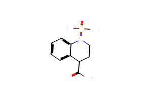 COC(=O)C1CCN([SH](C)(=O)C=O)c2ccccc21